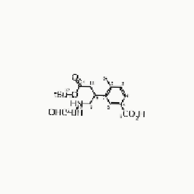 Cc1ccc(C(=O)O)cc1C(CNBC=O)CC(=O)OC(C)(C)C